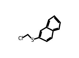 ClCSc1ccc2ccccc2c1